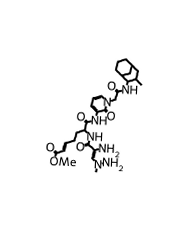 COC(=O)/C=C/CCC(NC(=O)/C(N)=C/N(C)N)C(=O)Nc1cccn(CC(=O)NC2C(C)CC3CCCC2C3)c1=O